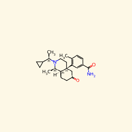 Cc1ccc(C(N)=O)cc1[C@]12CCN([C@H](C)C3CC3)[C@H](C)[C@@H]1CCC(=O)C2